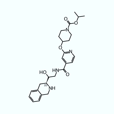 CC(C)OC(=O)N1CCC(Oc2cc(C(=O)NCC(O)[C@@H]3Cc4ccccc4CN3)ccn2)CC1